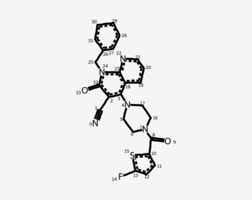 N#Cc1c(N2CCN(C(=O)c3ccc(F)s3)CC2)c2cccnc2n(Cc2ccccc2)c1=O